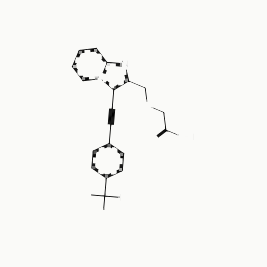 O=C(O)COCc1nc2ccccn2c1C#Cc1ccc(C(F)(F)F)cc1